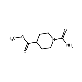 COC(=O)C1CCN(C(N)=O)CC1